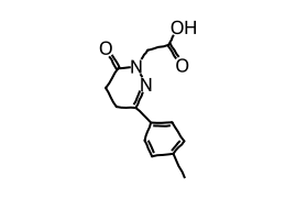 Cc1ccc(C2=NN(CC(=O)O)C(=O)CC2)cc1